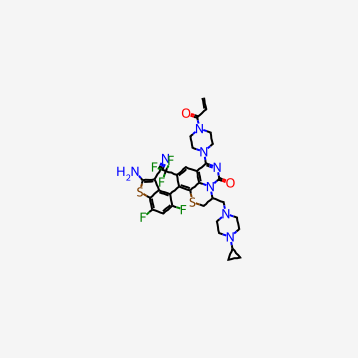 C=CC(=O)N1CCN(c2nc(=O)n3c4c(c(-c5c(F)cc(F)c6sc(N)c(C#N)c56)c(C(F)(F)F)cc24)SCC3CN2CCN(C3CC3)CC2)CC1